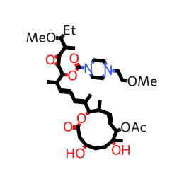 CCC(OC)C(C)C1OC1C(OC(=O)N1CCN(CCOC)CC1)C(C)/C=C/C=C(\C)C1OC(=O)CC(O)CCC(C)(O)C(OC(C)=O)/C=C/C1C